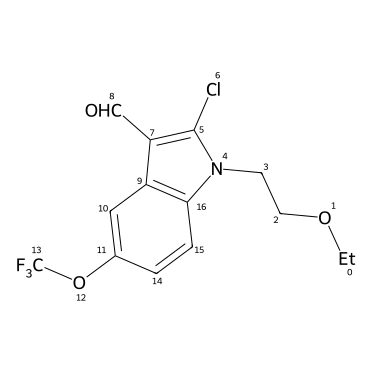 CCOCCn1c(Cl)c(C=O)c2cc(OC(F)(F)F)ccc21